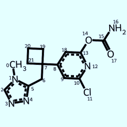 Cn1cnnc1CC1(c2cc(Cl)nc(OC(N)=O)c2)CCC1